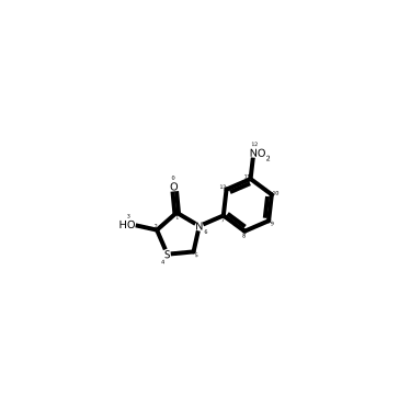 O=C1C(O)SCN1c1cccc([N+](=O)[O-])c1